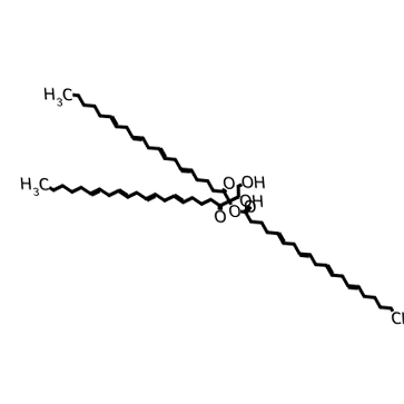 CCCCCC=CCC=CCC=CCC=CCCCC(=O)OC(C(=O)CCCC=CCC=CCC=CCC=CCCCCC)(C(=O)CCCC=CCC=CCC=CCC=CCCCCC)C(O)CO